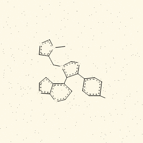 Cn1cncc1Cn1cnc(-c2ccc(F)cc2)c1-c1ccnc2[nH]ccc12